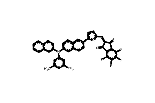 Cc1cc(C)cc(N(c2ccc3ccccc3c2)c2ccc3cc(-c4ccc(C=C5C(=O)c6c(F)c(F)c(F)c(F)c6C5=O)s4)ccc3c2)c1